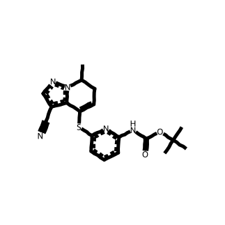 CC1CC=C(Sc2cccc(NC(=O)OC(C)(C)C)n2)c2c(C#N)cnn21